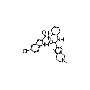 CN1CCc2nc(C(=O)N[C@@H]3CC=CC[C@@H]3NC(=O)c3cc4cc(Cl)ccc4[nH]3)sc2C1